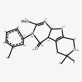 CSC1=NC2SC3=C(CC(C)(C)OC3)C2C(=O)N1c1cccc(C)c1